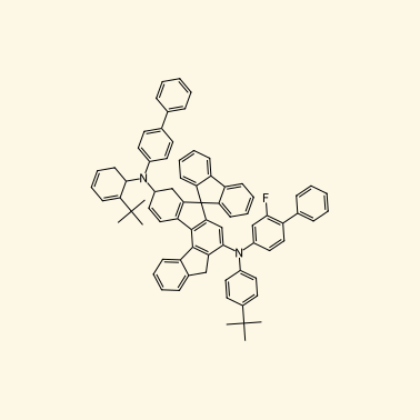 CC(C)(C)C1=CC=CCC1N(c1ccc(-c2ccccc2)cc1)C1C=CC2=C(C1)C1(c3ccccc3-c3ccccc31)c1cc(N(c3ccc(C(C)(C)C)cc3)c3ccc(-c4ccccc4)c(F)c3)c3c(c12)-c1ccccc1C3